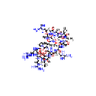 CN[C@H](C(=O)N[C@@H](CO)C(=O)N[C@H](C(=O)N[C@@H](CCCNC(=N)N)C(=O)N[C@H](C(=O)N[C@@H](C)C(=O)N[C@@H](C)C(=O)N[C@@H](C)C(=O)N[C@H](C(=O)N[C@H](C(=O)N[C@@H](CCCNC(=N)N)C(=O)N[C@@H](C)C(=O)N[C@@H](CC(C)C)C(=O)N1CCC[C@H]1C(=O)N[C@@H](CCCNC(=N)N)C(=O)N[C@@H](CCCNC(=N)N)C(=O)N[C@@H](C)C(=O)NCC(=O)N[C@@H](CC(C)C)C(=O)O)C(C)C)C(C)C)C(C)C)C(C)C)C(C)(C)C